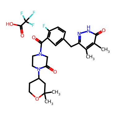 Cc1c(Cc2ccc(F)c(C(=O)N3CCN(C4CCOC(C)(C)C4)C(=O)C3)c2)n[nH]c(=O)c1C.O=C(O)C(F)(F)F